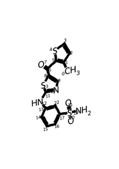 Cc1ccsc1C(=O)c1cnc(Nc2cccc(S(N)(=O)=O)c2)s1